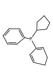 C1=CC(P(c2ccccc2)C2CCCC2)=CCC1